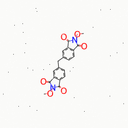 CON1C(=O)c2ccc(Cc3ccc4c(c3)C(=O)N(OC)C4=O)cc2C1=O